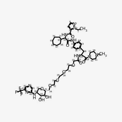 CCn1nccc1C(=O)NC(C(=O)Nc1ccc(CC(NC(=O)COCCOCCOCCOC[C@H]2OC[C@H](Nc3cncc(C(F)(F)F)n3)[C@@H](O)[C@H]2O)C(=O)N2CCN(C)CC2)cc1)C1CCCCCC1